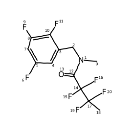 CN(Cc1cc(F)cc(F)c1F)C(=O)C(F)(F)C(C)(F)F